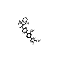 CN(c1cnc(-c2ccc(-c3nc(C#N)n(C)n3)cc2O)nn1)[C@H]1C[C@@H]2CCC[C@@H](C2)[C@H]1F